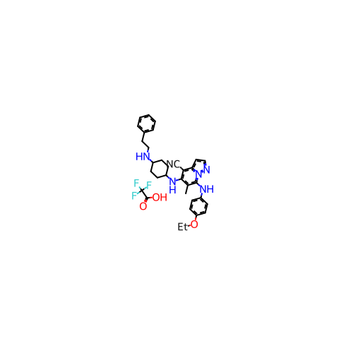 CCOc1ccc(Nc2c(C)c(NC3CCC(NCCc4ccccc4)CC3)c(C#N)c3ccnn23)cc1.O=C(O)C(F)(F)F